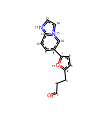 O=CCCc1ccc(-c2ccc3nccn3c2)o1